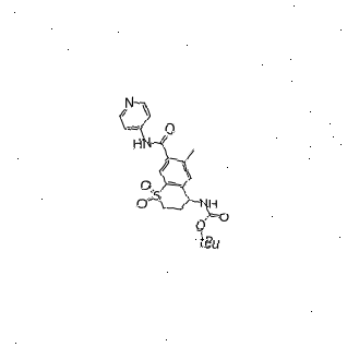 Cc1cc2c(cc1C(=O)Nc1ccncc1)S(=O)(=O)CCC2NC(=O)OC(C)(C)C